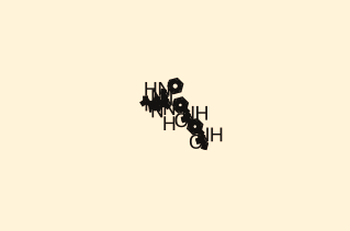 C=CC(=O)Nc1ccc(C(=O)Nc2cccc(Nc3nc(NC4CCCCC4)nc4c3ncn4C(C)C)c2)cc1